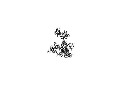 CC(C)[Si](O)(O[Si](O[C@H]1[C@@H](O[P@@](=S)(OCCC#N)OC[C@H]2C[C@@H](Oc3ccncn3)C[C@@H]2O[PH](=O)O)[C@H](n2cc(F)c3c(=O)[nH]cnc32)O[C@@H]1CO)(C(C)C)C(C)C)C(C)C